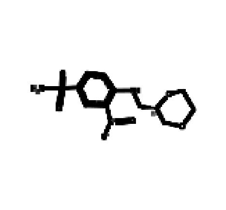 NS(=O)(=O)c1ccc(NC[C@H]2COCCO2)c([N+](=O)[O-])c1